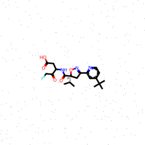 CC(C)[C@@]1(C(=O)NC(CC(=O)O)C(=O)CF)CC(c2cc(C(C)(C)C)ccn2)=NO1